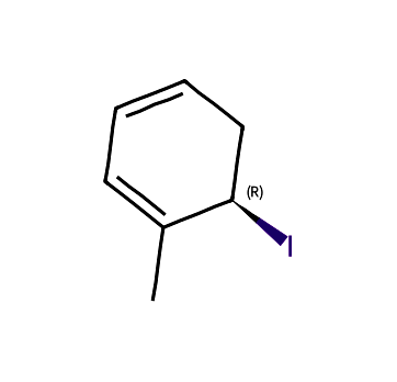 CC1=CC=CC[C@H]1I